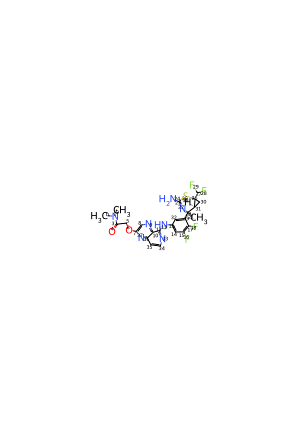 CN(C)C(=O)COc1cnc2c(Nc3cc(F)c(F)c([C@]4(C)N=C(N)S[C@@]5(C(F)F)C[C@@H]45)c3)nccc2n1